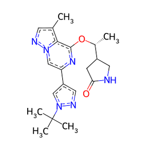 Cc1cnn2cc(-c3cnn(C(C)(C)C)c3)nc(O[C@H](C)C3CNC(=O)C3)c12